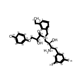 CCc1cccc(CN(C[C@@H](O)[C@@H](N)Cc2cc(F)cc(F)c2)C(=O)C(O)COc2ccc(Cl)cc2)c1